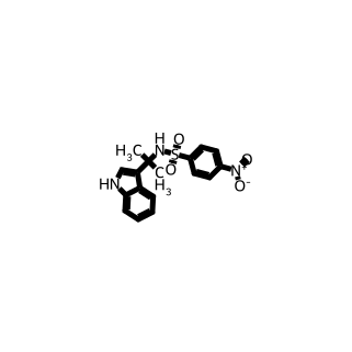 CC(C)(NS(=O)(=O)c1ccc([N+](=O)[O-])cc1)c1c[nH]c2ccccc12